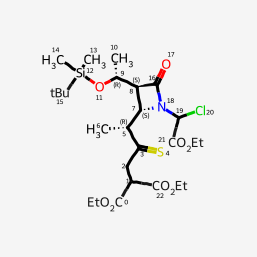 CCOC(=O)C(CC(=S)[C@H](C)[C@@H]1[C@@H]([C@@H](C)O[Si](C)(C)C(C)(C)C)C(=O)N1C(Cl)C(=O)OCC)C(=O)OCC